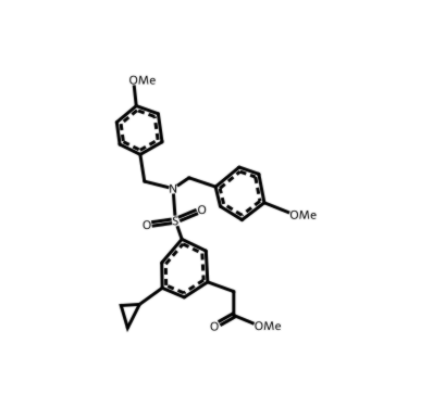 COC(=O)Cc1cc(C2CC2)cc(S(=O)(=O)N(Cc2ccc(OC)cc2)Cc2ccc(OC)cc2)c1